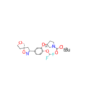 CC(C)(C)OC(=O)N1CC[C@H](Oc2cc(C3=NOC4(CCOC4)C3)ccc2OC(F)F)C1